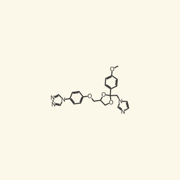 COc1ccc(C2(Cn3ccnc3)OCC(COc3ccc(-n4cnnc4)cc3)O2)cc1